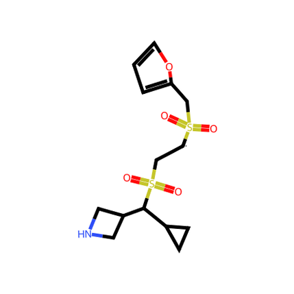 O=S(=O)([CH]CS(=O)(=O)C(C1CC1)C1CNC1)Cc1ccco1